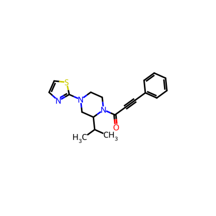 CC(C)C1CN(c2nccs2)CCN1C(=O)C#Cc1ccccc1